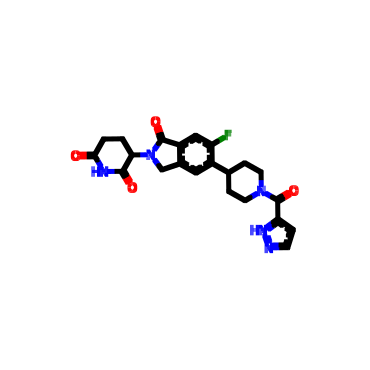 O=C1CCC(N2Cc3cc(C4CCN(C(=O)c5ccn[nH]5)CC4)c(F)cc3C2=O)C(=O)N1